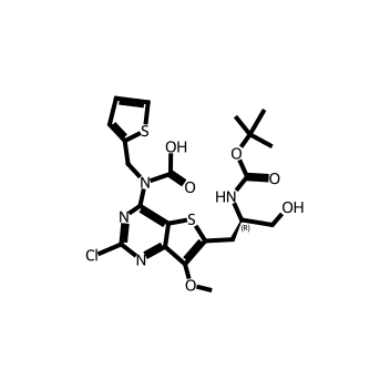 COc1c(C[C@H](CO)NC(=O)OC(C)(C)C)sc2c(N(Cc3cccs3)C(=O)O)nc(Cl)nc12